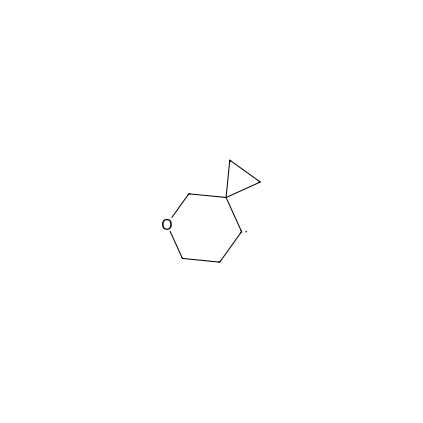 [CH]1CCOCC12CC2